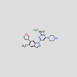 COc1nc(N2CCNCC2)cc(-n2ncc3cc(C)c(C4CCOC4)cc32)n1.Cl